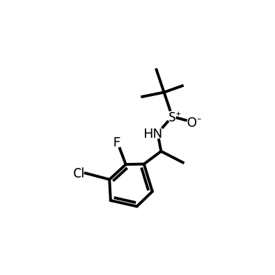 CC(N[S+]([O-])C(C)(C)C)c1cccc(Cl)c1F